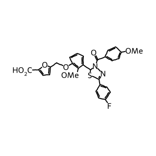 COc1ccc(C(=O)N2N=C(c3ccc(F)cc3)SC2c2cccc(OCc3ccc(C(=O)O)o3)c2OC)cc1